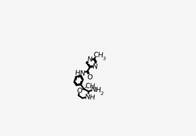 Cc1cnc(C(=O)Nc2cccc([C@]3(C)OCCNC3N)c2)cn1